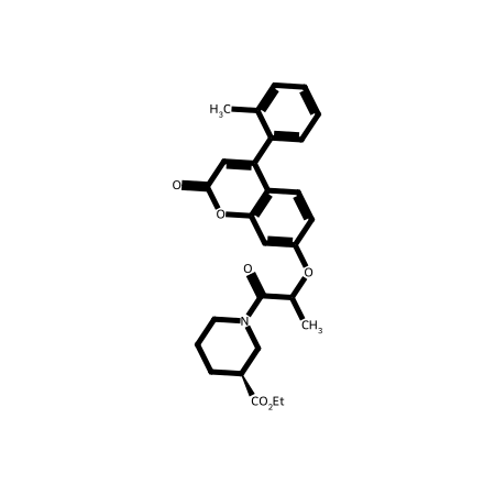 CCOC(=O)[C@H]1CCCN(C(=O)C(C)Oc2ccc3c(-c4ccccc4C)cc(=O)oc3c2)C1